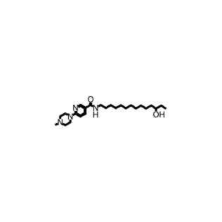 CCC(O)CCCCCCCCCCCNC(=O)c1ccc(N2CCN(C)CC2)nc1